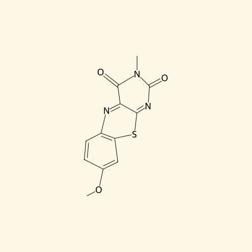 COc1ccc2nc3c(=O)n(C)c(=O)nc-3sc2c1